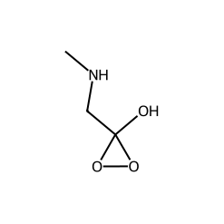 CNCC1(O)OO1